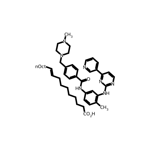 CCCCCCCCC=CCCCCCCCC(=O)O.Cc1ccc(NC(=O)c2ccc(CN3CCN(C)CC3)cc2)cc1Nc1nccc(-c2cccnc2)n1